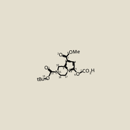 COC(=O)c1cc(OC(=O)O)n2c1CN(C(=O)OC(C)(C)C)CC2